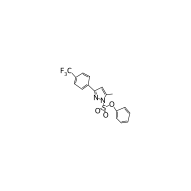 Cc1cc(-c2ccc(C(F)(F)F)cc2)nn1S(=O)(=O)Oc1ccccc1